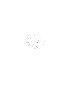 CC(O)Nc1ccc([C@H](C)N2CCn3nc4c(c3C2=O)CN(C(=O)c2ccc(Br)c(C#N)c2)[C@H](C)C4)cc1